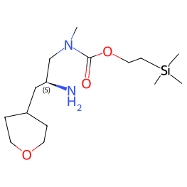 CN(C[C@@H](N)CC1CCOCC1)C(=O)OCC[Si](C)(C)C